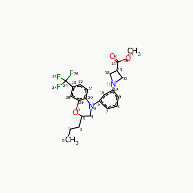 CCCC1CN(c2cccc(N3CC(C(=O)OC)C3)c2)c2ccc(C(F)(F)F)cc2O1